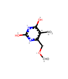 O=COCc1nc(O)nc(O)c1[N+](=O)[O-]